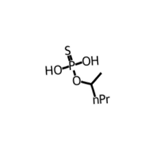 CCCC(C)OP(O)(O)=S